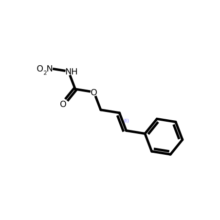 O=C(N[N+](=O)[O-])OC/C=C/c1ccccc1